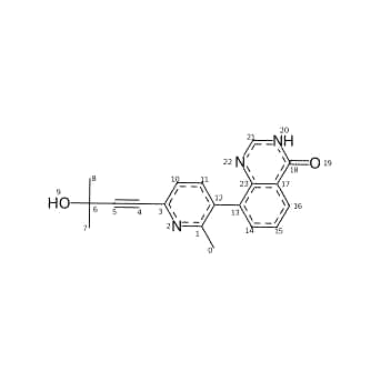 Cc1nc(C#CC(C)(C)O)ccc1-c1cccc2c(=O)[nH]cnc12